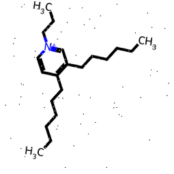 CCCCCCc1cc[n+](CCC)cc1CCCCCC